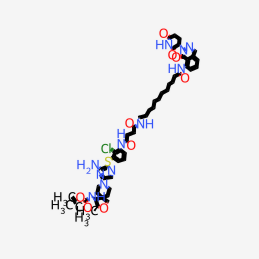 C[C@@H]1OCC2(CCN(c3cnc(Sc4cccc(NC(=O)CCC(=O)NCCCCCCCCCCCC(=O)Nc5cccc6cnn(C7CCC(=O)NC7=O)c(=O)c56)c4Cl)c(N)n3)CC2)[C@@H]1NC(=O)OC(C)(C)C